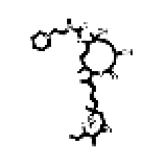 CCC(O)C(C)C1OC1CC(C)(/C=C/C=C(\C)C1OC(=O)CC(O)CCC(C)(O)C(OC(=O)N(C)CCN2CCCCC2)/C=C/C1C)N=O